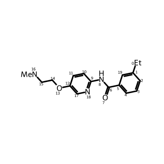 CCc1cccc(C(=O)Nc2ccc(OCCNC)cn2)c1